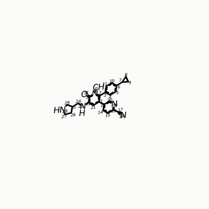 Cn1c(-c2ccc(C3CC3)cc2)c(-c2ccc(C#N)nc2)cc(NCC2CCNC2)c1=O